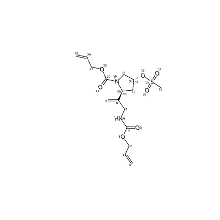 C=CCOC(=O)NCC(=C)[C@@H]1C[C@@H](OS(C)(=O)=O)CN1C(=O)OCC=C